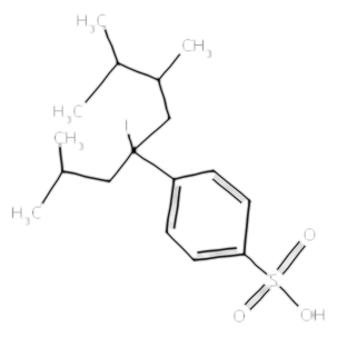 CC(C)CC(I)(CC(C)C(C)C)c1ccc(S(=O)(=O)O)cc1